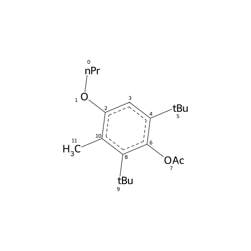 CCCOc1cc(C(C)(C)C)c(OC(C)=O)c(C(C)(C)C)c1C